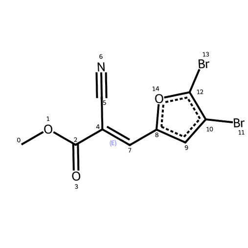 COC(=O)/C(C#N)=C/c1cc(Br)c(Br)o1